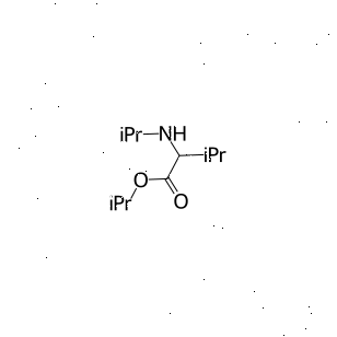 CC(C)NC(C(=O)OC(C)C)C(C)C